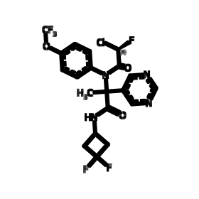 CC(C(=O)NC1CC(F)(F)C1)(c1cncnc1)N(C(=O)[C@H](F)Cl)c1ccc(OC(F)(F)F)cc1